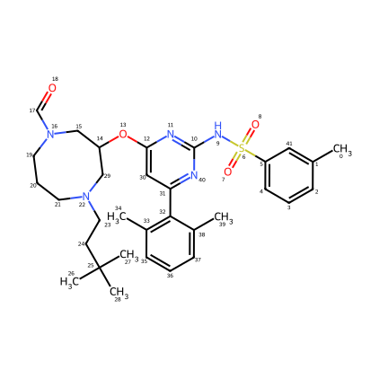 Cc1cccc(S(=O)(=O)Nc2nc(OC3CN(C=O)CCCN(CCC(C)(C)C)C3)cc(-c3c(C)cccc3C)n2)c1